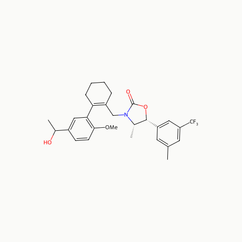 COc1ccc(C(C)O)cc1C1=C(CN2C(=O)O[C@H](c3cc(C)cc(C(F)(F)F)c3)[C@@H]2C)CCCC1